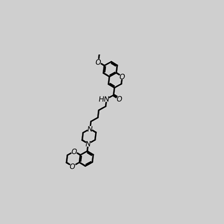 COc1ccc2c(c1)C=C(C(=O)NCCCCN1CCN(c3cccc4c3OCCO4)CC1)CO2